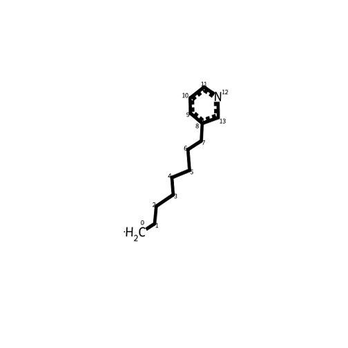 [CH2]CCCCCCCc1cccnc1